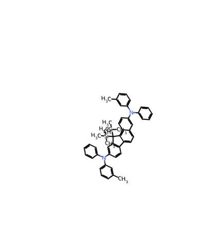 Cc1cccc(N(c2ccccc2)c2ccc3c(c2)C([Si](C)(C)C)([Si](C)(C)C)c2c-3ccc3cc(N(c4ccccc4)c4cccc(C)c4)ccc23)c1